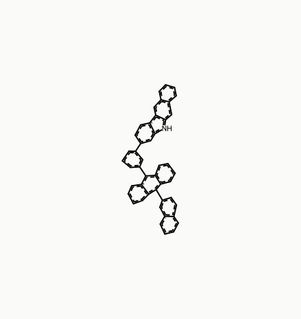 c1cc(-c2ccc3c(c2)[nH]c2cc4ccccc4cc23)cc(-c2c3ccccc3c(-c3ccc4ccccc4c3)c3ccccc23)c1